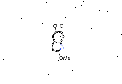 COc1ccc2cc(C=O)ccc2n1